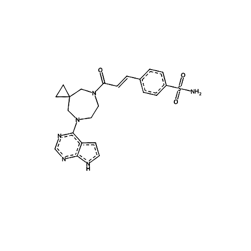 NS(=O)(=O)c1ccc(C=CC(=O)N2CCN(c3ncnc4[nH]ccc34)CC3(CC3)C2)cc1